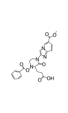 COC(=O)c1ccc2nc(N3CCN(OC(=O)c4ccccc4)C(CCC(=O)O)C3=O)cn2c1